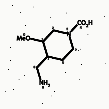 COC1CN(C(=O)O)CCC1CN